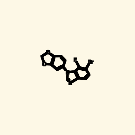 Fc1c(Br)ccc2ncn(-c3ccc4c(c3)OCO4)c12